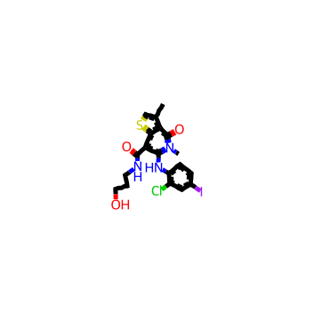 Cc1csc2c(C(=O)NCCCO)c(Nc3ccc(I)cc3Cl)n(C)c(=O)c12